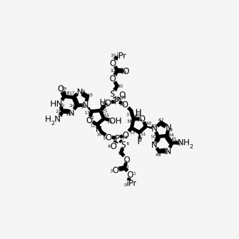 CC(C)OC(=O)OCSP1(=O)OC[C@H]2O[C@@H](n3cnc4c(=O)[nH]c(N)nc43)[C@@H](OP(=O)(SCOC(=O)OC(C)C)OC[C@H]3O[C@@H](n4cnc5c(N)ncnc54)[C@@H](F)C3O1)C2O